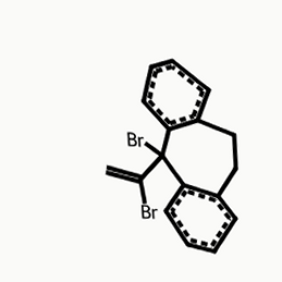 C=C(Br)C1(Br)c2ccccc2CCc2ccccc21